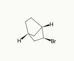 Br[C@H]1C[C@@H]2CC[C@H]1C2